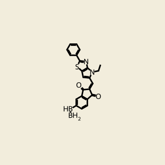 BBc1ccc2c(c1)C(=O)/C(=C\c1cc3sc(-c4ccccc4)nc3n1CC)C2=O